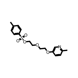 Cc1ccc(S(=O)(=O)OCCOCCOc2ccc(C)nc2)cc1